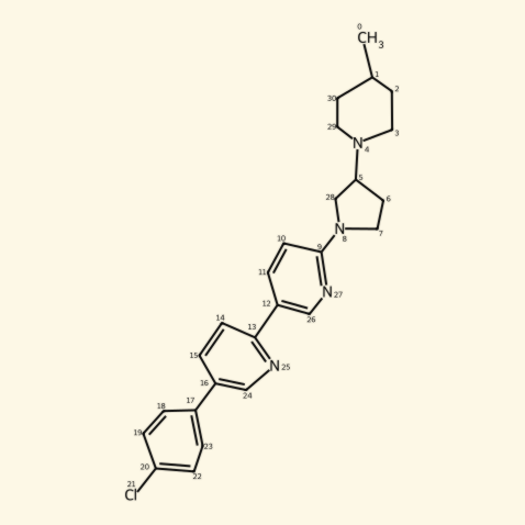 CC1CCN(C2CCN(c3ccc(-c4ccc(-c5ccc(Cl)cc5)cn4)cn3)C2)CC1